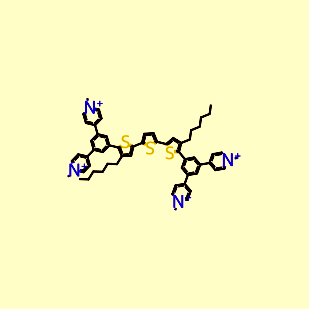 CCCCCCc1cc(-c2ccc(-c3cc(CCCCCC)c(-c4cc(-c5cc[n+](C)cc5)cc(-c5cc[n+](C)cc5)c4)s3)s2)sc1-c1cc(-c2cc[n+](C)cc2)cc(-c2cc[n+](C)cc2)c1